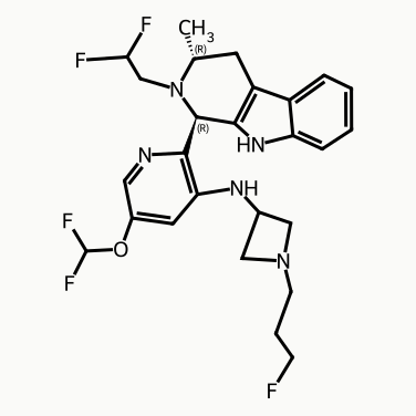 C[C@@H]1Cc2c([nH]c3ccccc23)[C@@H](c2ncc(OC(F)F)cc2NC2CN(CCCF)C2)N1CC(F)F